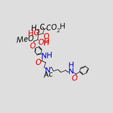 COC(Oc1ccc(NC(=O)CCN(CCCCCCNC(=O)c2ccccc2)C(C)=O)cc1)C(O)C(O)C(O)C(C)C(=O)O